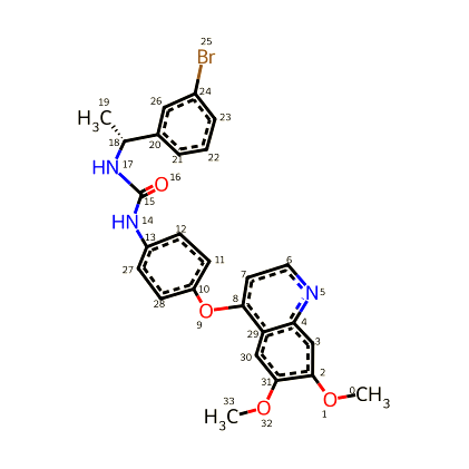 COc1cc2nccc(Oc3ccc(NC(=O)N[C@H](C)c4cccc(Br)c4)cc3)c2cc1OC